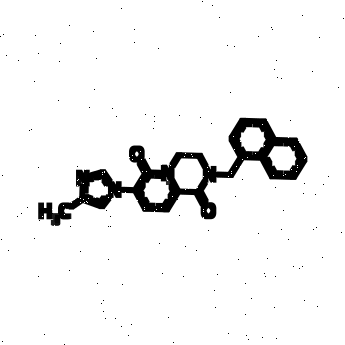 Cc1cn(-c2ccc3n(c2=O)CCN(Cc2cccc4ccccc24)C3=O)cn1